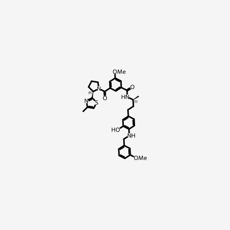 COc1cccc(CNc2ccc(CC[C@H](C)NC(=O)c3cc(OC)cc(C(=O)N4CCC[C@@H]4c4nc(C)cs4)c3)cc2O)c1